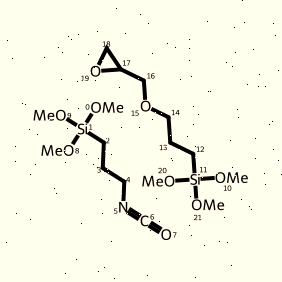 CO[Si](CCCN=C=O)(OC)OC.CO[Si](CCCOCC1CO1)(OC)OC